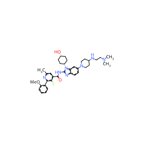 COc1ccccc1-c1nc(C)cc(C(=O)Nc2nc3ccc(N4CCC(NCCN(C)C)CC4)cc3n2[C@H]2CC[C@@H](O)CC2)c1F